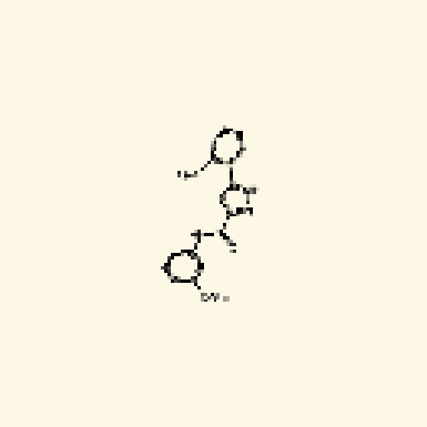 COc1cccc(NC(=O)c2cc(-c3ccccc3OC)[nH]n2)c1